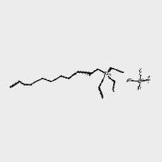 CCCCCCCCCC[P+](CC)(CC)CC.F[B-](F)(F)F